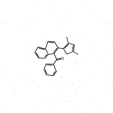 CC1=CC(C)=C(c2ccc3ccccc3c2C(=O)c2ccccc2)C1